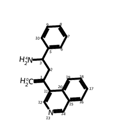 C=C(CC(N)c1ccccc1)c1cncc2ccccc12